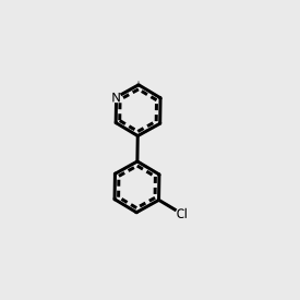 Clc1cccc(-c2cc[c]nc2)c1